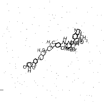 COc1cc(N2CCC(N(C)CC3CCN(c4ccc(-n5ccc(=O)[nH]c5=O)c(F)c4)CC3)CC2)c(C)cc1Nc1ncc(Br)c(Nc2ccc3nccnc3c2P(C)(C)=O)n1